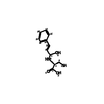 O=C(O)[C@H](CS)NC(O)C=Cc1ccccc1